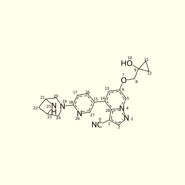 N#Cc1cnn2cc(OCC3(O)CC3)cc(-c3ccc(N4CC5CC(C4)N5)nc3)c12